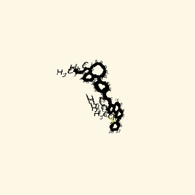 C=C/C=C\C(=C)c1ccccccc(-c2ccc(C(=C)/C=C3\C(=C)C(C)(C)c4c3ccc3ccc5c6ccccc6sc5c43)cc2)c2ccccc12